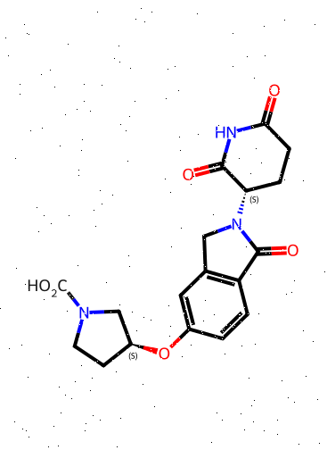 O=C1CC[C@H](N2Cc3cc(O[C@H]4CCN(C(=O)O)C4)ccc3C2=O)C(=O)N1